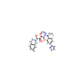 CO[C@@H](C(=O)N[C@H](C)c1ccc(-n2cccn2)cc1)[C@@H](O)C(=O)N1CCc2ccc(F)cc2C1